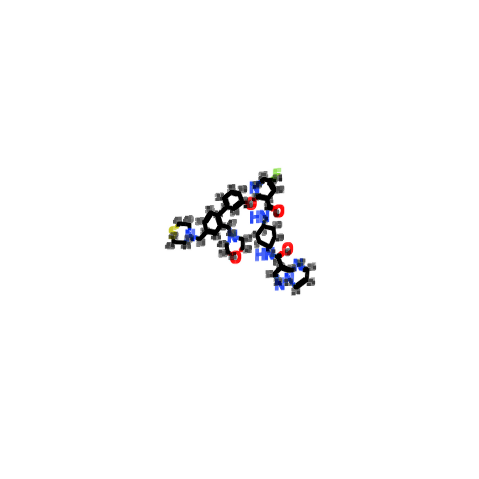 O=C(NC1CCC(NC(=O)c2cnn3cccnc23)CC1)c1cc(F)cnc1Oc1cccc(-c2ccc(CN3CCSCC3)cc2CN2CCOCC2)c1